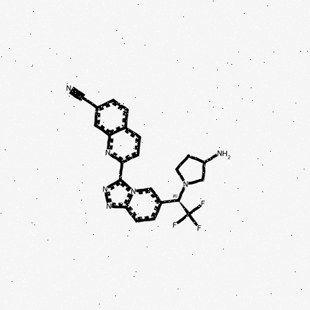 N#Cc1ccc2ccc(-c3nnc4ccc([C@@H](N5CCC(N)C5)C(F)(F)F)cn34)nc2c1